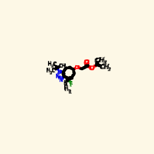 BC1(F)CCC(OCC(=O)OC(C)C)CCc2c1nnn2C(C)(C)C